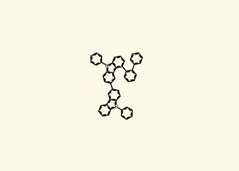 c1ccc(-c2ccccc2-c2cccc3c2c2cc(-c4ccc5c(c4)c4ccccc4n5-c4ccccc4)ccc2n3-c2ccccc2)cc1